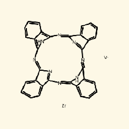 [V].[Zr].c1ccc2c(c1)-c1nc-2nc2[nH]c(nc3nc(nc4[nH]c(n1)c1ccccc41)-c1ccccc1-3)c1ccccc21